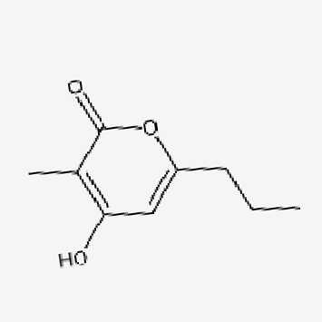 CCCc1cc(O)c(C)c(=O)o1